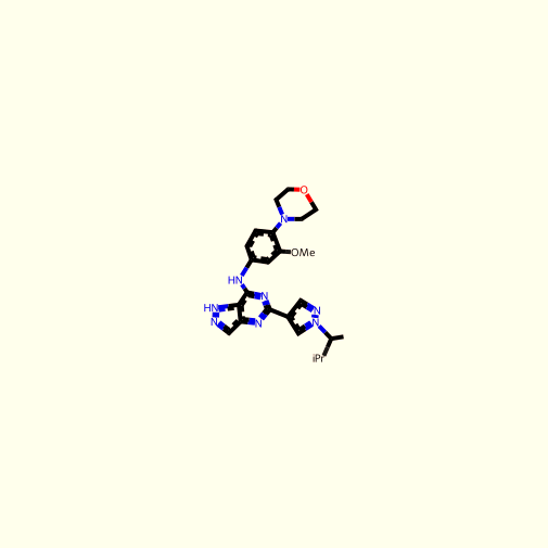 COc1cc(Nc2nc(-c3cnn(C(C)C(C)C)c3)nc3cn[nH]c23)ccc1N1CCOCC1